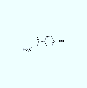 C=C(CCC(=O)O)c1ccc(C(C)(C)C)cc1